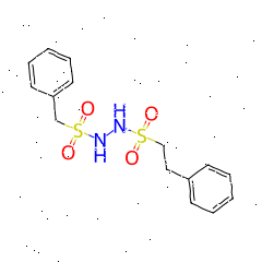 O=S(=O)(CCc1ccccc1)NNS(=O)(=O)Cc1ccccc1